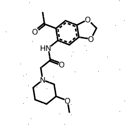 COC1CCCN(CC(=O)Nc2cc3c(cc2C(C)=O)OCO3)C1